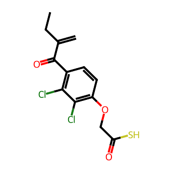 C=C(CC)C(=O)c1ccc(OCC(=O)S)c(Cl)c1Cl